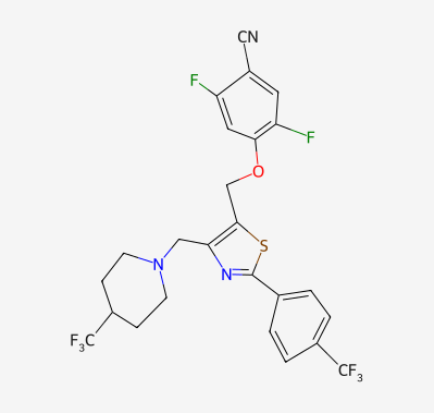 N#Cc1cc(F)c(OCc2sc(-c3ccc(C(F)(F)F)cc3)nc2CN2CCC(C(F)(F)F)CC2)cc1F